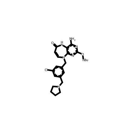 CCCCOc1nc(N)c2c(n1)N(Cc1cc(Cl)cc(CN3CCCC3)c1)C=CC(=O)N2